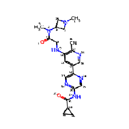 CN1CC(N(C)C(=O)CNc2cc(-c3cnc(NC(=O)C4CC4)cn3)cnc2C#N)C1